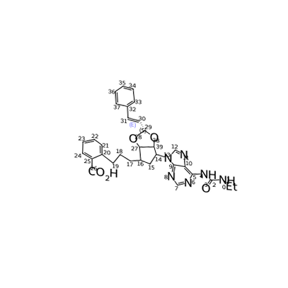 CCNC(=O)Nc1ncnc2c1ncn2C1CC(CCCc2ccccc2C(=O)O)C2O[C@H](/C=C/c3ccccc3)OC21